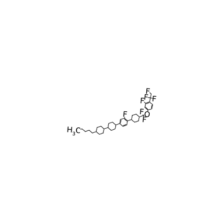 CCCCCC1CCC(C2CCC(c3ccc(C4CCC(C(F)(F)Oc5ccc(C(F)(F)CF)c(F)c5)CC4)c(F)c3)CC2)CC1